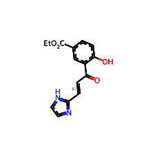 CCOC(=O)c1ccc(O)c(C(=O)/C=C/c2ncc[nH]2)c1